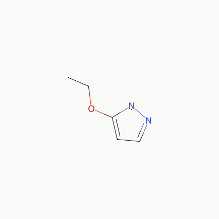 CCOC1=CC=N[N]1